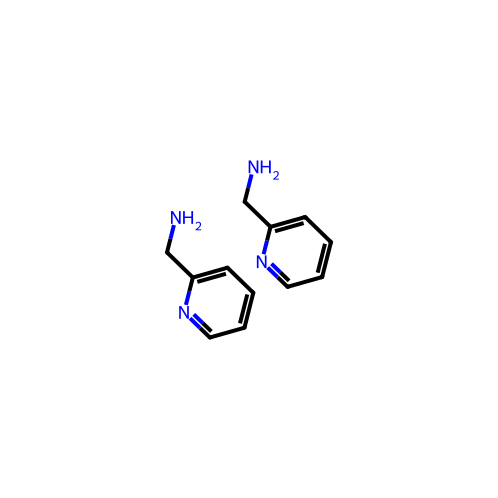 NCc1ccccn1.NCc1ccccn1